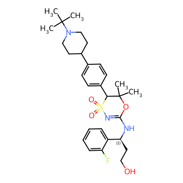 CC1(C)OC(N[C@@H](CCO)c2ccccc2F)=NS(=O)(=O)C1c1ccc(C2CCN(C(C)(C)C)CC2)cc1